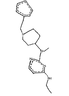 CCNc1ccnc(N(C)C2CCN(Cc3ccccc3)CC2)n1